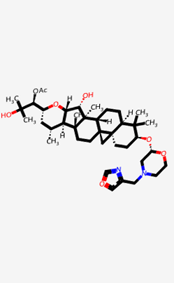 CC(=O)O[C@@H]([C@H]1C[C@@H](C)[C@H]2[C@H](O1)[C@H](O)[C@@]1(C)[C@@H]3CC[C@H]4C(C)(C)[C@@H](O[C@H]5CN(Cc6cocn6)CCO5)CC[C@@]45C[C@@]35CC[C@]21C)C(C)(C)O